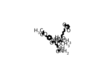 CCC(=O)OCc1ccc(NC(=O)[C@H](CCCNC(N)=O)NC(=O)[C@@H](NC(=O)CCCCCN2C(=O)C=CC2=O)C(C)C)cc1